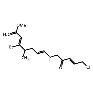 C=C(/C=C(\CC)C(C)C/C=C/NCC(=O)/C=C/CCl)OC